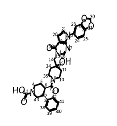 O=C(O)N1CC[C@@H](C(=O)N2CCC(O)(Cn3cnc4c(ccn4-c4ccc5c(c4)OCO5)c3=O)CC2)[C@H](c2ccccc2)C1